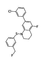 FCc1cccc(SN2CCCc3c(F)cc(-c4cccc(Cl)c4)cc32)c1